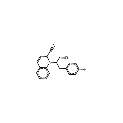 N#CC1C=Cc2ccccc2N1C(C=O)Cc1ccc(F)cc1